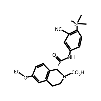 CCOc1ccc2c(c1)CCN(C(=O)O)[C@H]2C(=O)Nc1ccc([Si](C)(C)C)c(C#N)c1